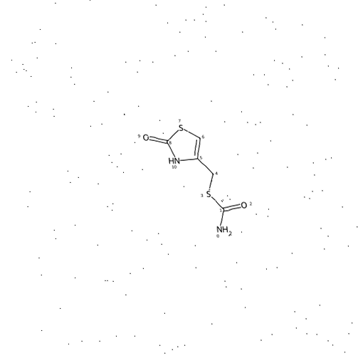 NC(=O)SCc1csc(=O)[nH]1